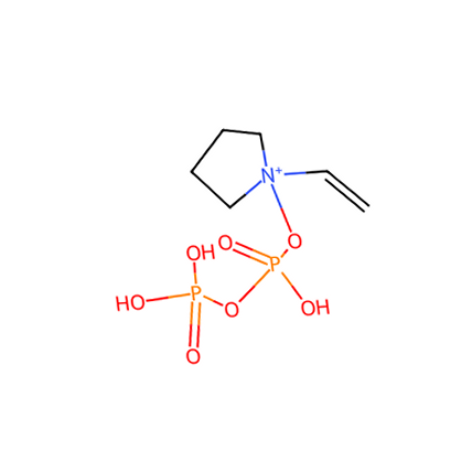 C=C[N+]1(OP(=O)(O)OP(=O)(O)O)CCCC1